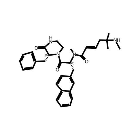 CNC(C)(C)CC=CC(=O)N(C)[C@H](Cc1ccc2ccccc2c1)C(=O)N1CCNC(=O)[C@H]1Cc1ccccc1